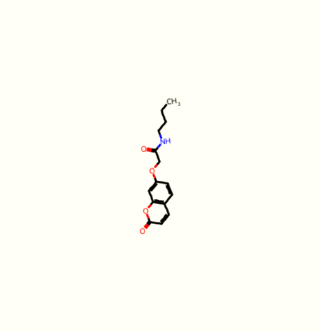 CCCCNC(=O)COc1ccc2ccc(=O)oc2c1